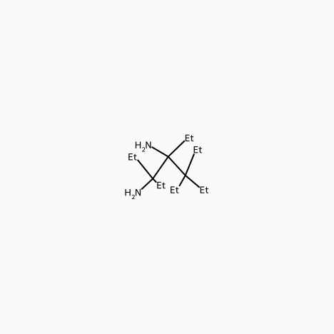 CCC(N)(CC)C(N)(CC)C(CC)(CC)CC